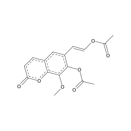 COc1c(OC(C)=O)c(C=COC(C)=O)cc2ccc(=O)oc12